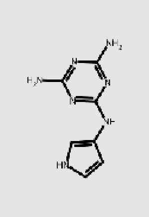 Nc1nc(N)nc(Nc2cc[nH]c2)n1